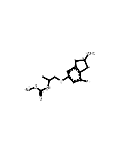 CC(COc1cc(F)c2c(c1)CC(C=O)C2)NC(=O)OC(C)(C)C